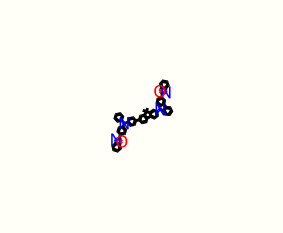 CC1(C)c2cc(-c3ccc(N(c4ccccc4)c4ccc(-c5nc6ccccc6o5)cc4)cc3)ccc2-c2ccc(-n3c4ccccc4c4cc(-c5nc6ccccc6o5)ccc43)cc21